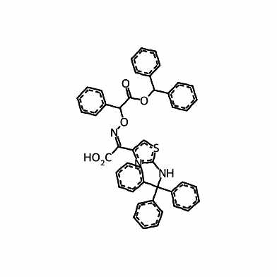 O=C(O)/C(=N/OC(C(=O)OC(c1ccccc1)c1ccccc1)c1ccccc1)c1csc(NC(c2ccccc2)(c2ccccc2)c2ccccc2)n1